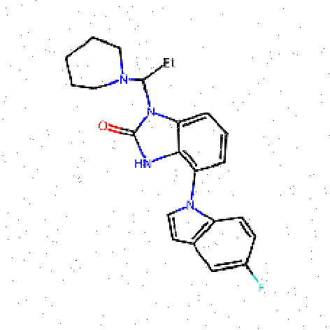 CCC(N1CCCCC1)n1c(=O)[nH]c2c(-n3ccc4cc(F)ccc43)cccc21